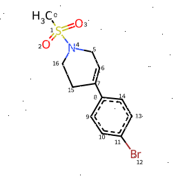 CS(=O)(=O)N1CC=C(c2ccc(Br)cc2)CC1